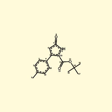 Cc1ccc(-c2cc(=O)[nH]n2C(=O)OC(C)(C)C)cc1